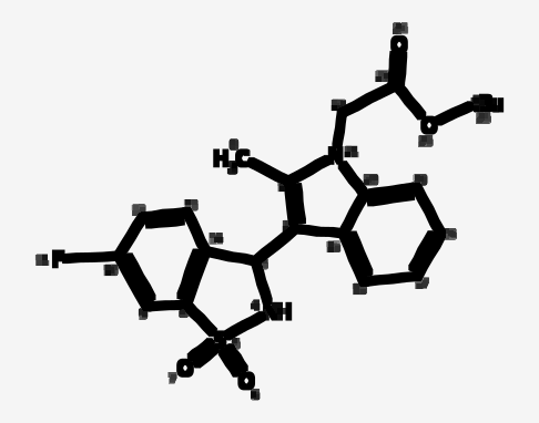 Cc1c(C2NS(=O)(=O)c3cc(F)ccc32)c2ccccc2n1CC(=O)OC(C)(C)C